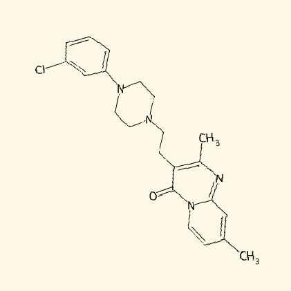 Cc1ccn2c(=O)c(CCN3CCN(c4cccc(Cl)c4)CC3)c(C)nc2c1